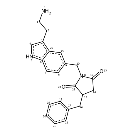 NCCc1c[nH]c2ccc(CN3C(=O)CC(Cc4ccccc4)C3=O)cc12